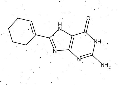 Nc1nc2nc(C3=CCCCC3)[nH]c2c(=O)[nH]1